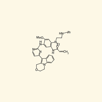 C=CC(=O)Nc1cc(Nc2nccc(-c3c4n(c5ccccc35)CCOC4)n2)c(OC)cc1N(CC)CCNC(C)C